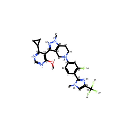 COc1ncnc(C2CC2)c1-c1nn(C)c2c1CN(c1ccc(-c3nc(C(F)(F)F)cn3C)c(F)c1)CC2